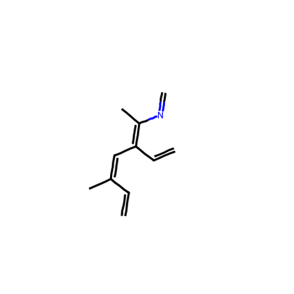 C=C/C(C)=C\C(C=C)=C(/C)N=C